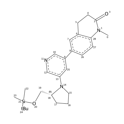 CN1C(=O)CCc2cc(-c3cncc(N4CCC[C@@H]4CO[Si](C)(C)C(C)(C)C)c3)ccc21